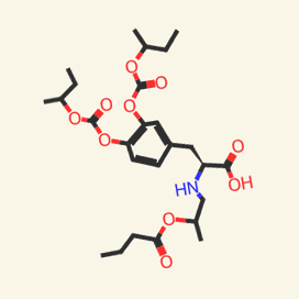 CCCC(=O)OC(C)CN[C@@H](Cc1ccc(OC(=O)OC(C)CC)c(OC(=O)OC(C)CC)c1)C(=O)O